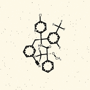 CO[C@](C(=O)N[C@@](Cc1cccc(C#N)c1)(c1cc(F)cc(C(F)(F)F)c1)c1ccc(Cl)cn1)(c1ccccc1)C(F)(F)F